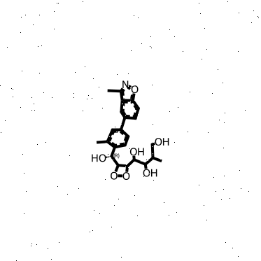 Cc1cc(-c2ccc3onc(C)c3c2)ccc1[C@@H](O)C1OOC1C(O)C(O)C(C)CO